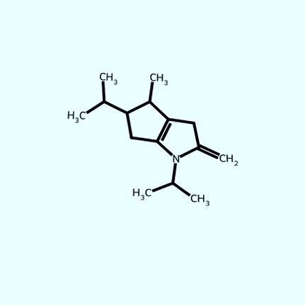 C=C1CC2=C(CC(C(C)C)C2C)N1C(C)C